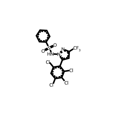 O=S(=O)(Nn1nc(C(F)(F)F)cc1-c1c(Cl)cc(Cl)c(Cl)c1Cl)c1ccccc1